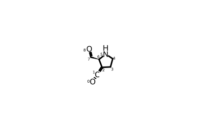 O=C=C1CCN[C@@H]1C=O